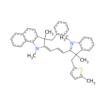 Cc1ccc(CC2(C)C(/C=C/C=C3/N(C)c4c(ccc5ccccc45)C3(C)Cc3ccccc3)=[N+](C)c3ccccc32)s1